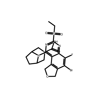 CCS(=O)(=O)c1nc(N2C3CCC2CN(C(=O)O)C3)c2c3c(c(Br)c(F)c2n1)COC3